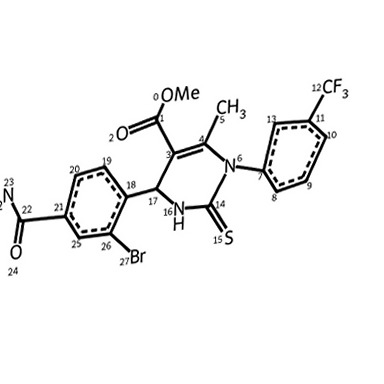 COC(=O)C1=C(C)N(c2cccc(C(F)(F)F)c2)C(=S)NC1c1ccc(C(N)=O)cc1Br